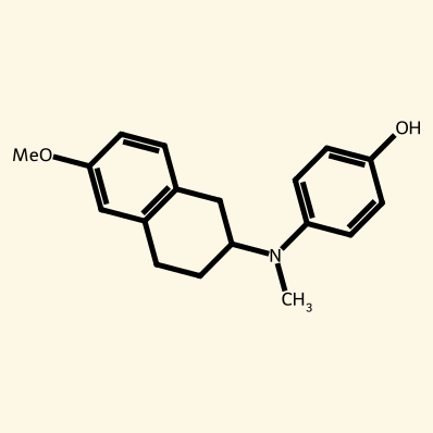 COc1ccc2c(c1)CCC(N(C)c1ccc(O)cc1)C2